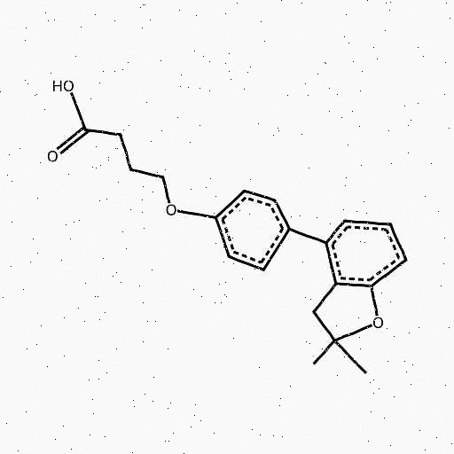 CC1(C)Cc2c(cccc2-c2ccc(OCCCC(=O)O)cc2)O1